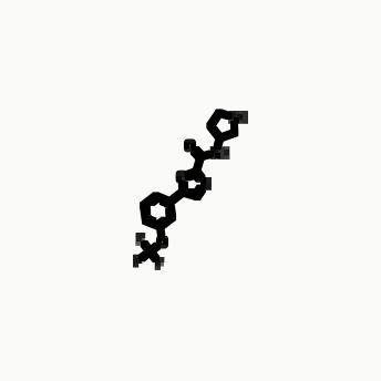 O=C(NC1CCNC1)c1ncc(-c2cccc(OC(F)(F)F)c2)o1